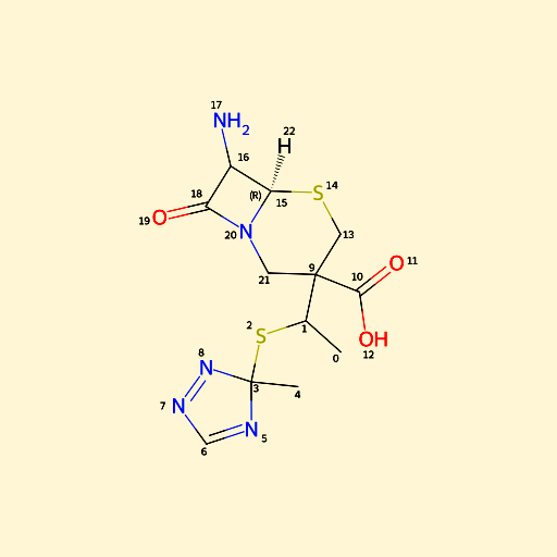 CC(SC1(C)N=CN=N1)C1(C(=O)O)CS[C@@H]2C(N)C(=O)N2C1